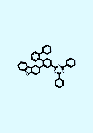 C1=CCC(c2nc(C3=CCCC=C3)nc(C3=CCC(c4ccccc4C4C=CC=CC4)C(C4CC=C5OC6=C(C=CCC6)C5C4)=C3)n2)C=C1